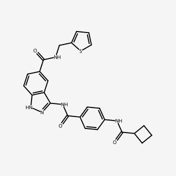 O=C(NCc1cccs1)c1ccc2[nH]nc(NC(=O)c3ccc(NC(=O)C4CCC4)cc3)c2c1